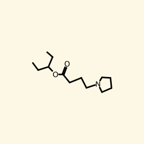 CCC(CC)OC(=O)CCCN1CCCC1